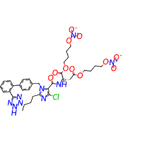 CCCCc1nc(Cl)c(C(=O)N[C@@H](CC(=O)OCCCCO[N+](=O)[O-])C(=O)OCCCCO[N+](=O)[O-])n1Cc1ccc(-c2ccccc2-c2nn[nH]n2)cc1